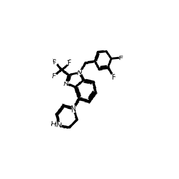 FC1=CC(Cn2c(C(F)(F)F)nc3c(N4CCNCC4)cccc32)=CCC1F